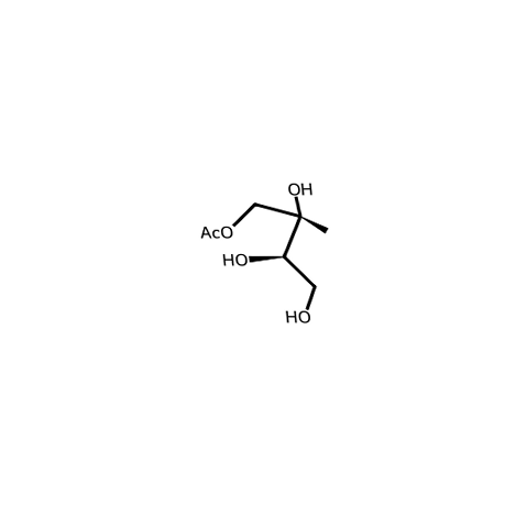 CC(=O)OC[C@](C)(O)[C@H](O)CO